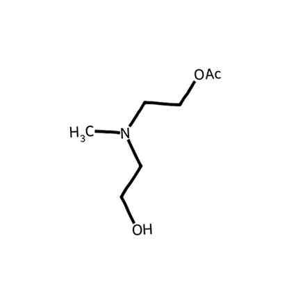 CC(=O)OCCN(C)CCO